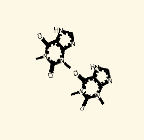 Cn1c(=O)c2[nH]cnc2n(C)c1=O.Cn1c(=O)c2[nH]cnc2n(C)c1=O